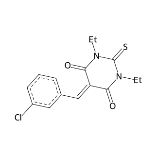 CCN1C(=O)C(=Cc2cccc(Cl)c2)C(=O)N(CC)C1=S